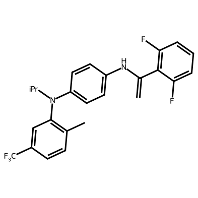 C=C(Nc1ccc(N(c2cc(C(F)(F)F)ccc2C)C(C)C)cc1)c1c(F)cccc1F